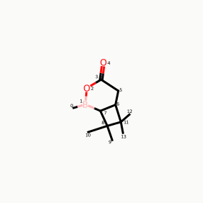 CB1OC(=O)CC2C1C(C)(C)C2(C)C